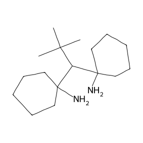 CC(C)(C)C(C1(N)CCCCC1)C1(N)CCCCC1